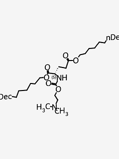 CCCCCCCCCCCCCCCCOC(=O)CC[C@H](NC(=O)OCCN(C)C)C(=O)OCCCCCCCCCCCCCCCC